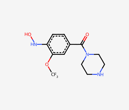 O=C(c1ccc(NO)c(OC(F)(F)F)c1)N1CCNCC1